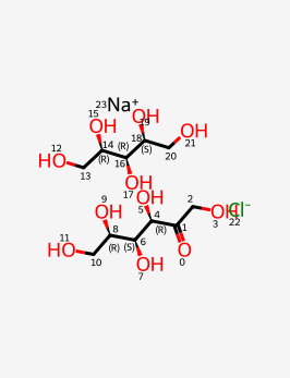 O=C(CO)[C@H](O)[C@@H](O)[C@H](O)CO.OC[C@@H](O)[C@H](O)[C@@H](O)CO.[Cl-].[Na+]